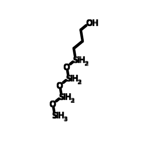 OCCC[SiH2]O[SiH2]O[SiH2]O[SiH3]